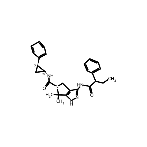 CCC(C(=O)Nc1n[nH]c2c1CN(C(=O)N[C@@H]1C[C@H]1c1ccccc1)C2(C)C)c1ccccc1